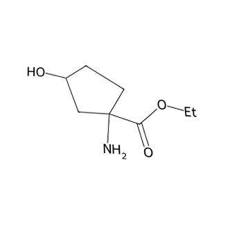 CCOC(=O)C1(N)CCC(O)C1